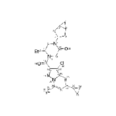 CCC1CN(C2CC3CC3C2)C(=O)CN1C(=O)c1nn2c(C(F)(F)F)cc(C3CC3)cc2c1Cl